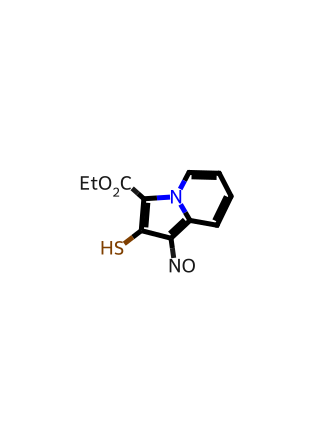 CCOC(=O)c1c(S)c(N=O)c2ccccn12